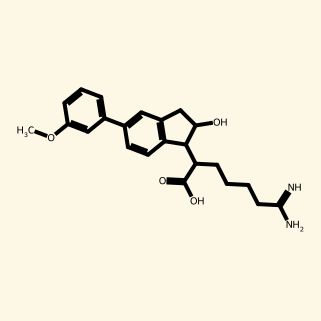 COc1cccc(-c2ccc3c(c2)CC(O)C3C(CCCCC(=N)N)C(=O)O)c1